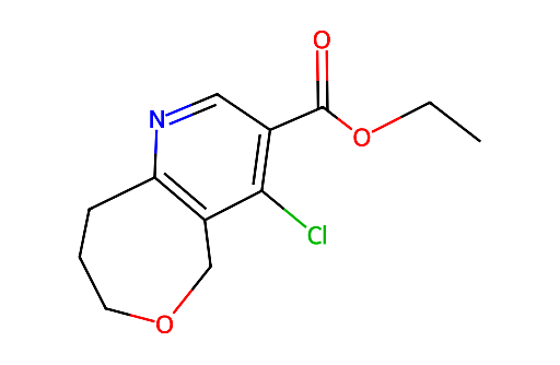 CCOC(=O)c1cnc2c(c1Cl)COCCC2